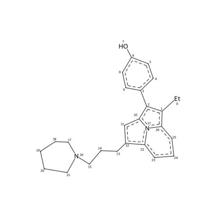 CCc1c(-c2ccc(O)cc2)c2cc(CCCN3CCCCC3)c3cccc1n32